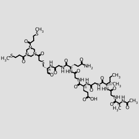 CC[C@H](C)[C@H](NC(=O)CNC(=O)[C@H](C)NC(C)=O)C(=O)NCC(=O)N[C@@H](CCC(=O)O)C(=O)NCC(=O)N[C@@H](CCC(N)=O)C(=O)NCC(=O)N[C@H](C=O)CSCC(=O)N1CN(C(=O)CCSC)CN(C(=O)CCSC)C1